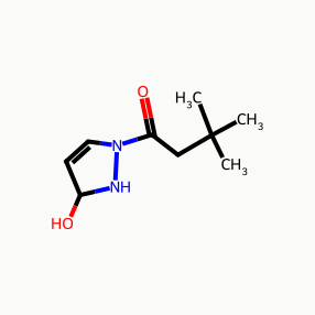 CC(C)(C)CC(=O)N1C=CC(O)N1